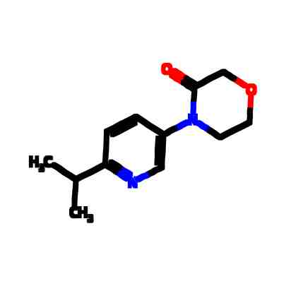 CC(C)c1ccc(N2CCOCC2=O)cn1